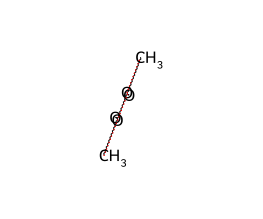 CCCCCCCCCCCCCCCCCCCCCCOC(=O)CCCCCCCCCCCCCCC(=O)OCCCCCCCCCCCCCCCCCCCCCC